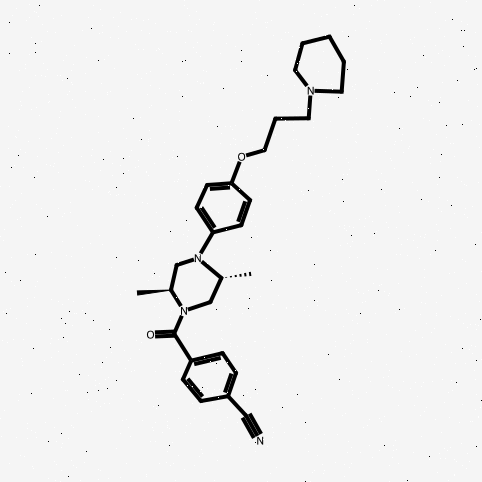 C[C@@H]1CN(C(=O)c2ccc(C#N)cc2)[C@@H](C)CN1c1ccc(OCCCN2CCCCC2)cc1